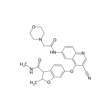 CNC(=O)C1c2ccc(Oc3c(C#N)cnc4ccc(NC(=O)CN5CCOCC5)cc34)cc2OC1C